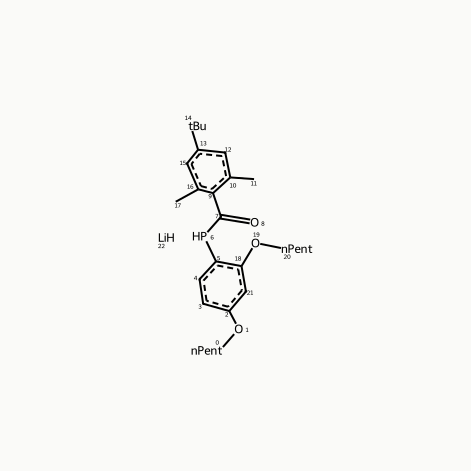 CCCCCOc1ccc(PC(=O)c2c(C)cc(C(C)(C)C)cc2C)c(OCCCCC)c1.[LiH]